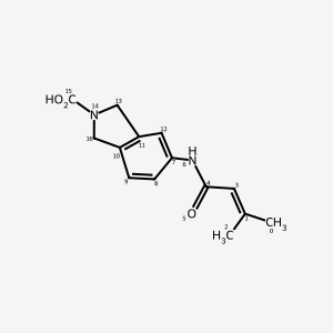 CC(C)=CC(=O)Nc1ccc2c(c1)CN(C(=O)O)C2